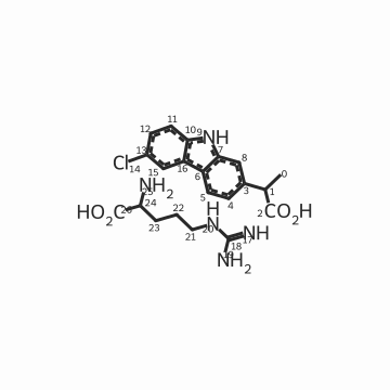 CC(C(=O)O)c1ccc2c(c1)[nH]c1ccc(Cl)cc12.N=C(N)NCCCC(N)C(=O)O